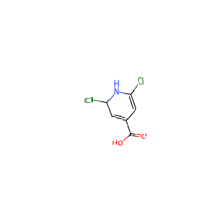 O=C(O)C1=CC(Cl)NC(Cl)=C1